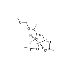 COCOC(C)C1=C[C@H](OC(C)=O)[C@@H]2OC(C)(C)O[C@H]12